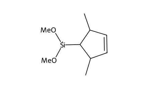 CO[Si](OC)C1C(C)C=CC1C